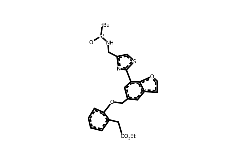 CCOC(=O)Cc1ccccc1OCc1cc(-c2nc(CN[S+]([O-])C(C)(C)C)cs2)c2occc2c1